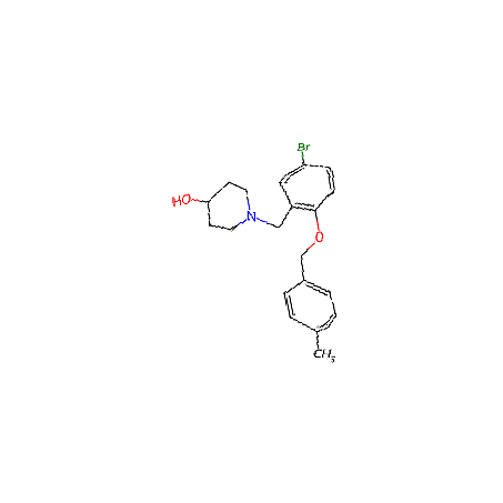 Cc1ccc(COc2ccc(Br)cc2CN2CCC(O)CC2)cc1